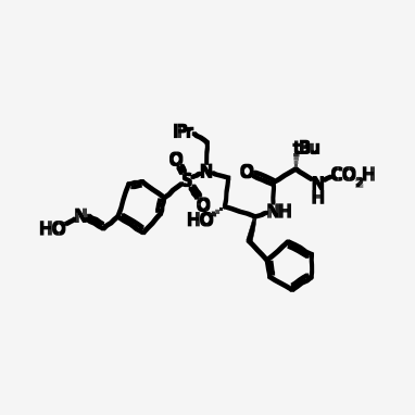 CC(C)CN(C[C@@H](O)[C@H](Cc1ccccc1)NC(=O)[C@@H](NC(=O)O)C(C)(C)C)S(=O)(=O)c1ccc(C=NO)cc1